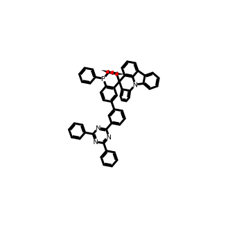 c1ccc(-c2nc(-c3ccccc3)nc(-c3cccc(-c4ccc5c(c4)C4(c6ccccc6-n6c7ccccc7c7cccc4c76)c4ccccc4P5c4ccccc4)c3)n2)cc1